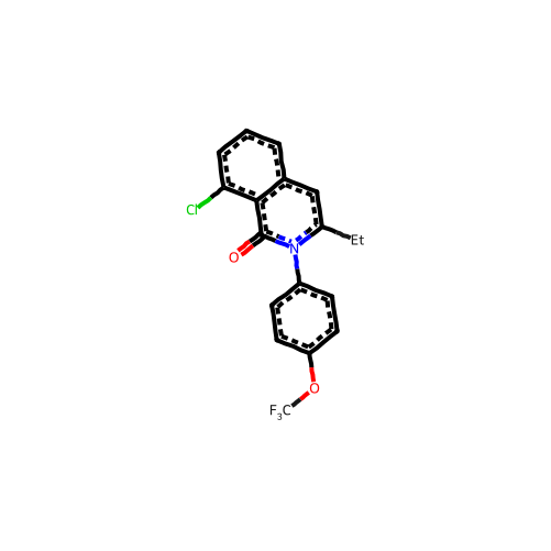 CCc1cc2cccc(Cl)c2c(=O)n1-c1ccc(OC(F)(F)F)cc1